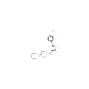 Cc1nc(-c2ccc3c(c2)OCCO3)sc1C(=O)N1CCC(N2CCCCC2)CC1